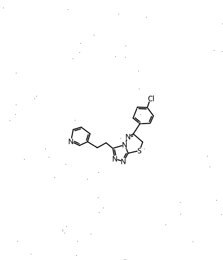 Clc1ccc(C2=Nn3c(CCc4cccnc4)nnc3SC2)cc1